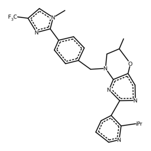 CC1CN(Cc2ccc(-c3nc(C(F)(F)F)cn3C)cc2)c2nc(-c3cccnc3C(C)C)ncc2O1